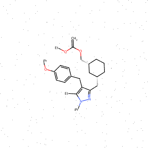 C=C(OCC)OC[C@@H]1CCC[C@H](Cc2nn(C(C)C)c(CC)c2Cc2ccc(OC(C)C)cc2)C1